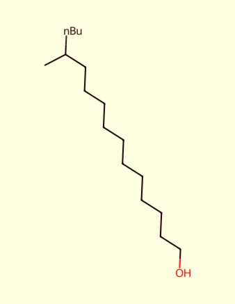 CCCCC(C)CCCCCCCCCCCO